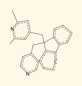 Cc1cc(CC2(Cc3ccncc3)c3ccccc3-c3ccccc32)cc(C)n1